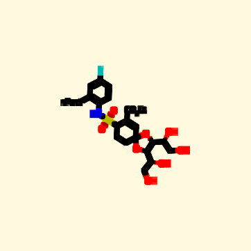 CCCCCc1cc(F)ccc1NS(=O)(=O)C1CCC2(C=C1C(=O)OCC)O[C@H]([C@H](O)CO)[C@@H]([C@H](O)CO)O2